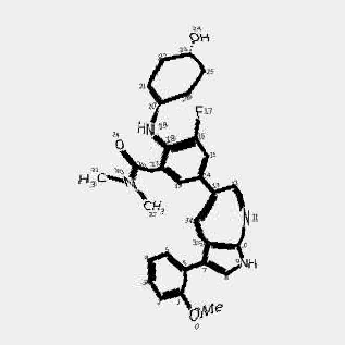 COc1ccccc1-c1c[nH]c2ncc(-c3cc(F)c(N[C@H]4CC[C@H](O)CC4)c(C(=O)N(C)C)c3)cc12